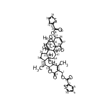 CC1=C(COC(=O)c2cccs2)C(=O)O[C@@H]([C@@H](C)[C@H]2CC[C@H]3[C@@H]4C[C@H]5O[C@]56[C@@H](OC(=O)c5cccs5)C=CC(=O)[C@]6(C)[C@H]4CC[C@]23C)C1